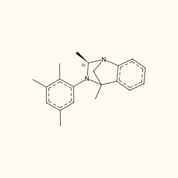 Cc1cc(C)c(C)c(N2[C@@H](C)N3CC2(C)c2ccccc23)c1